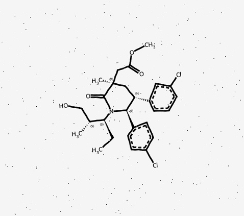 CC[C@@H]([C@H](C)CO)N1C(=O)[C@@](C)(CC(=O)OC)C[C@H](c2cccc(Cl)c2)[C@H]1c1ccc(Cl)cc1